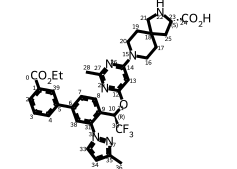 CCOC(=O)c1cccc(-c2ccc([C@@H](Oc3cc(N4CCC5(CC4)CN[C@H](C(=O)O)C5)nc(C)n3)C(F)(F)F)c(-n3ccc(C)n3)c2)c1